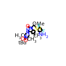 CO[C@H]1Cn2c(=O)nc(N3C[C@@H](C)N(C(=O)OC(C)(C)C)[C@@H](C)C3)c3cc(C(F)(F)F)cc(c32)[SH](c2cc(N)c(F)cc2F)C1